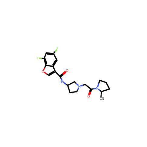 N#CC1CCCN1C(=O)CN1CCC(NC(=O)c2coc3c(F)cc(F)cc23)C1